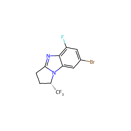 Fc1cc(Br)cc2c1nc1n2[C@H](C(F)(F)F)CC1